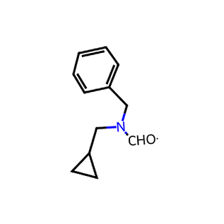 O=[C]N(Cc1ccccc1)CC1CC1